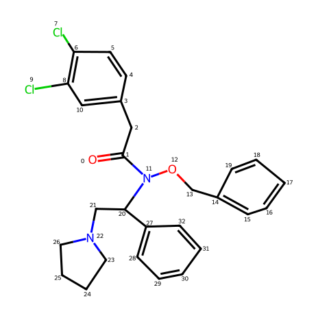 O=C(Cc1ccc(Cl)c(Cl)c1)N(OCc1ccccc1)C(CN1CCCC1)c1ccccc1